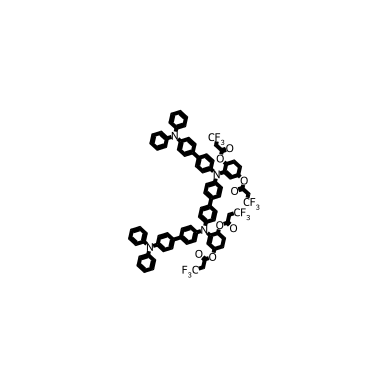 O=C(CC(F)(F)F)OC1C=C(N(c2ccc(-c3ccc(N(C4=CC(OC(=O)CC(F)(F)F)CCC4OC(=O)CC(F)(F)F)c4ccc(-c5ccc(N(c6ccccc6)c6ccccc6)cc5)cc4)cc3)cc2)c2ccc(-c3ccc(N(c4ccccc4)c4ccccc4)cc3)cc2)C(OC(=O)CC(F)(F)F)CC1